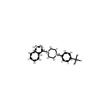 CC(C)(C)c1ccc(N2CCN(c3nsc4ccccc34)CC2)cc1